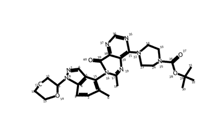 Cc1ccc2c(cnn2C2CCCCO2)c1-n1c(C)nc2c(N3CCN(C(=O)OC(C)(C)C)CC3)ncnc2c1=O